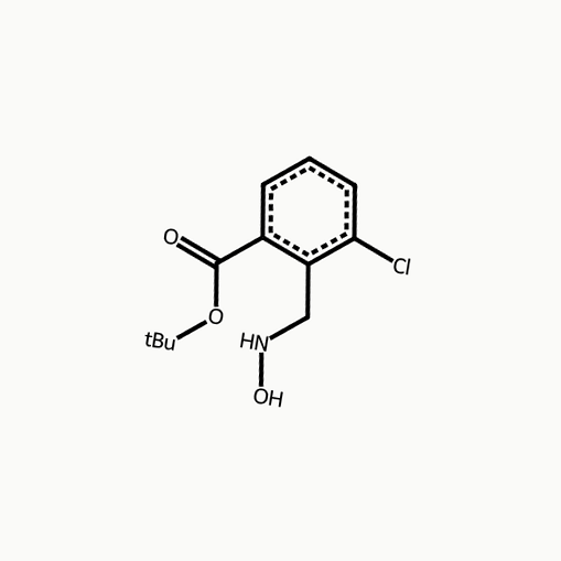 CC(C)(C)OC(=O)c1cccc(Cl)c1CNO